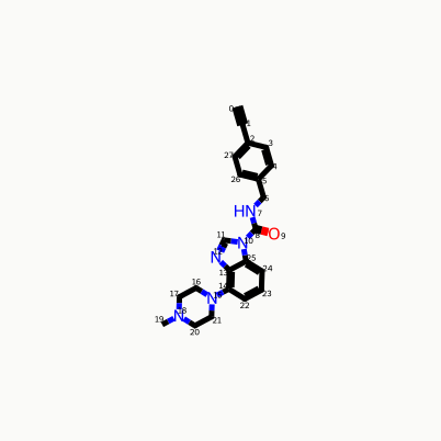 C#Cc1ccc(CNC(=O)n2cnc3c(N4CCN(C)CC4)cccc32)cc1